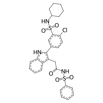 O=C(Cc1c(-c2ccc(Cl)c(S(=O)(=O)NC3CCCCC3)c2)[nH]c2ccccc12)NS(=O)(=O)c1ccccc1